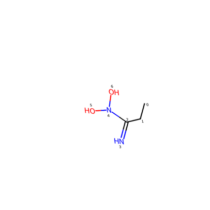 CCC(=N)N(O)O